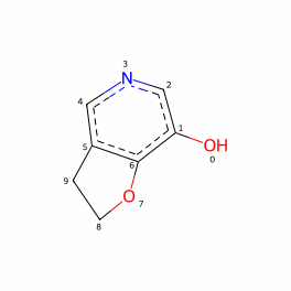 Oc1cncc2c1OCC2